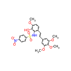 COc1ccc(C=Cc2cc(OC)c(OC)c(OC)c2)c(NS(=O)(=O)c2ccc([N+](=O)[O-])cc2)c1O